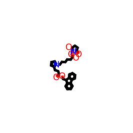 O=C(CCc1cccn1CCCCCC(=O)ON1C(=O)CCC1=O)OCC1c2ccccc2-c2ccccc21